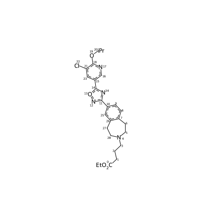 CCOC(=O)CCCN1CCc2ccc(-c3noc(-c4cnc(OC(C)C)c(Cl)c4)n3)cc2CC1